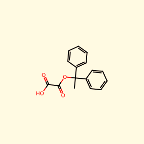 CC(OC(=O)C(=O)O)(c1ccccc1)c1ccccc1